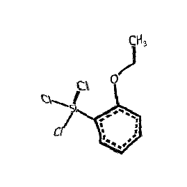 CCOc1ccccc1[Si](Cl)(Cl)Cl